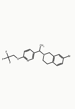 CC(c1ccc(OCC(F)(F)F)nc1)N1CCc2ccc(Br)cc2C1